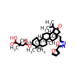 CC(C)C1=C2[C@H]3CC[C@@H]4[C@@]5(C)CC[C@H](OC(=O)CC(C)(C)C(=O)O)C(C)(C)[C@@H]5CC[C@@]4(C)[C@]3(C)CC[C@@]2(Cc2nnc(-c3ccco3)o2)CC1=O